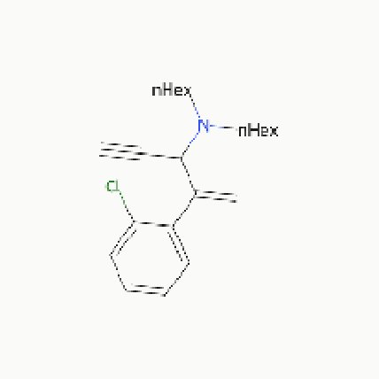 C#CC(C(=C)c1ccccc1Cl)N(CCCCCC)CCCCCC